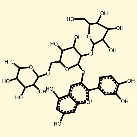 CC1OC(OCC2OC(Oc3cc4c(O)cc(O)cc4[o+]c3-c3ccc(O)c(O)c3)C(OC3OC(CO)C(O)C(O)C3O)C(O)C2O)C(O)C(O)C1O